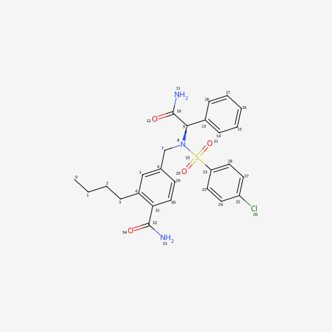 CCCCc1cc(CN([C@@H](C(N)=O)c2ccccc2)S(=O)(=O)c2ccc(Cl)cc2)ccc1C(N)=O